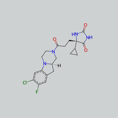 O=C1NC(=O)[C@](CCC(=O)N2CCN3c4cc(Cl)c(F)cc4C[C@@H]3C2)(C2CC2)N1